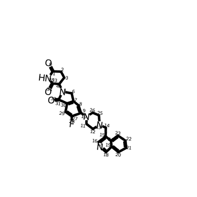 O=C1CCC(N2Cc3cc(N4CCN(Cc5cncc6ccccc56)CC4)c(F)cc3C2=O)C(=O)N1